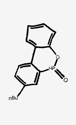 CCCCc1ccc2c(c1)[PH](=O)Oc1ccccc1-2